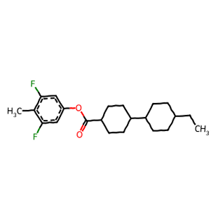 CCC1CCC(C2CCC(C(=O)Oc3cc(F)c(C)c(F)c3)CC2)CC1